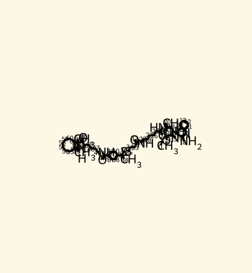 CCOCc1nc2c(N)nc3ccccc3c2n1CC(C)(C)NC(=O)CCCCCNC(=O)CCSSC(C)c1ccc(C(=O)NCCCCC2NC3(C)C4CCCCCCC(C4)C3(C)C2=O)cc1